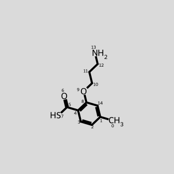 Cc1ccc(C(=O)S)c(OCCCN)c1